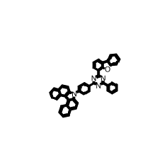 C1=C(c2nc(-c3ccccc3)nc(-c3cccc4c3oc3ccccc34)n2)CCC(n2c3ccc4ccccc4c3c3c4ccccc4ccc32)=C1